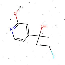 CCOc1cc(C2(O)CC(F)C2)ccn1